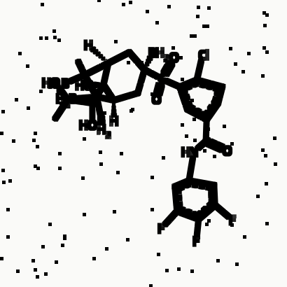 BC1(B)[C@@H]2C[C@](B)(S(=O)(=O)c3cc(C(=O)Nc4cc(F)c(F)c(F)c4)ccc3Cl)C[C@H](C1(B)C)[C@@]2(O)C(O)C(C)O